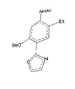 CCc1cc(-c2ncco2)c(OC)cc1NC(C)=O